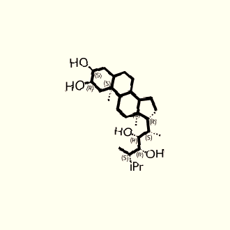 CC(C)[C@H](C)[C@@H](O)[C@H](O)[C@@H](C)[C@H]1CCC2C3CCC4C[C@H](O)[C@H](O)C[C@]4(C)C3CC[C@@]21C